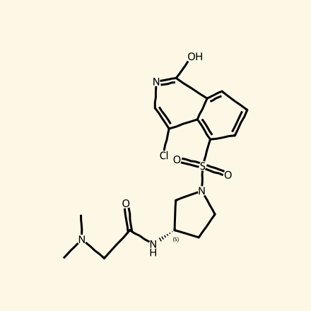 CN(C)CC(=O)N[C@H]1CCN(S(=O)(=O)c2cccc3c(O)ncc(Cl)c23)C1